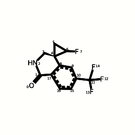 O=C1NC[C@]2(CC2F)c2cc(C(F)(F)F)ccc21